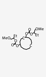 CCC(COC)OC(=O)OC1CCCCCCCCC(OC(=O)OC(CC)COC)CCC1